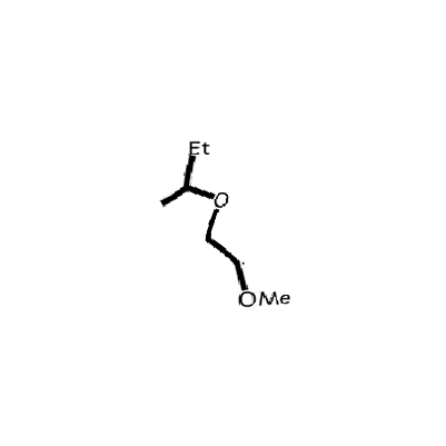 CCC(C)OC[CH]OC